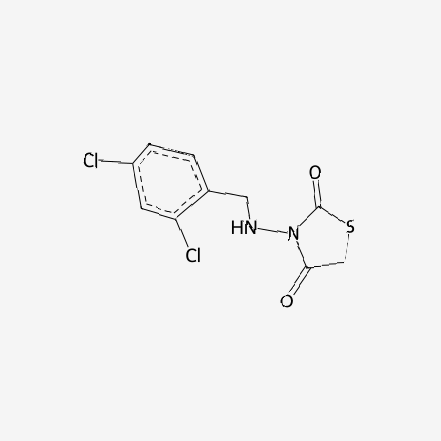 O=C1CSC(=O)N1NCc1ccc(Cl)cc1Cl